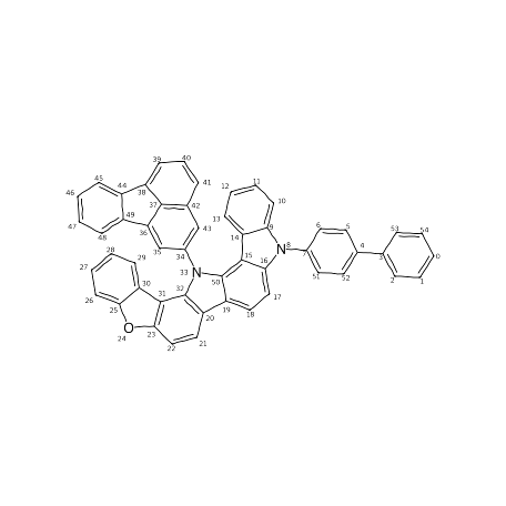 c1ccc(-c2ccc(-n3c4ccccc4c4c3ccc3c5ccc6oc7ccccc7c6c5n(-c5cc6c7c(cccc7c5)-c5ccccc5-6)c34)cc2)cc1